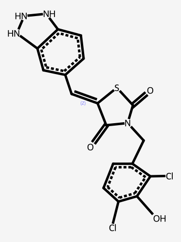 O=C1S/C(=C\c2ccc3c(c2)NNN3)C(=O)N1Cc1ccc(Cl)c(O)c1Cl